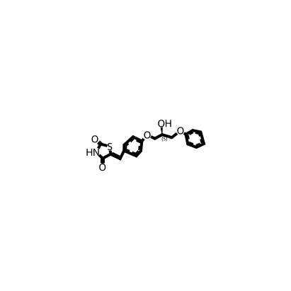 O=C1NC(=O)C(=Cc2ccc(OC[C@@H](O)COc3ccccc3)cc2)S1